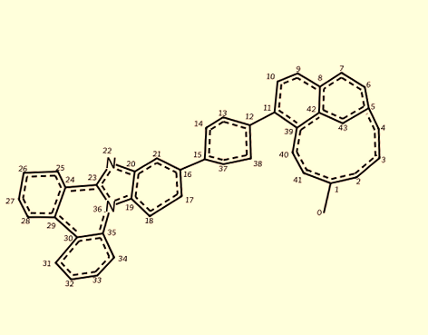 Cc1cccc2ccc3ccc(-c4ccc(-c5ccc6c(c5)nc5c7ccccc7c7ccccc7n65)cc4)c(cc1)c3c2